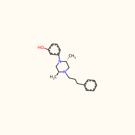 C[C@@H]1CN(CCCc2ccccc2)[C@@H](C)CN1c1cccc(O)c1